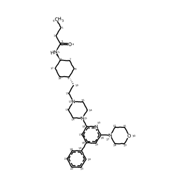 CCCC(=O)N[C@H]1CC[C@H](CCN2CCN(c3cc(-c4ccccc4)cc(N4CCOCC4)n3)CC2)CC1